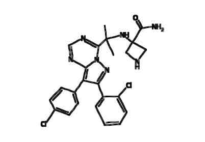 CC(C)(NC1(C(N)=O)CNC1)c1ncnc2c(-c3ccc(Cl)cc3)c(-c3ccccc3Cl)nn12